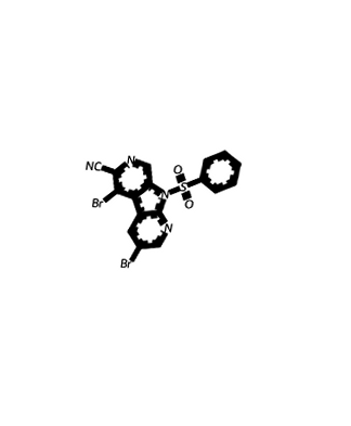 N#Cc1ncc2c(c1Br)c1cc(Br)cnc1n2S(=O)(=O)c1ccccc1